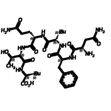 CC[C@H](C)[C@H](NC(=O)[C@@H](NC(=O)[C@H](CCC(N)=O)NC(=O)[C@@H](NC(=O)[C@H](Cc1ccccc1)NC(=O)[C@@H](N)CC(N)=O)[C@@H](C)CC)[C@@H](C)O)C(=O)O